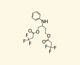 O=C(CC(F)(F)F)OCCC(COC(=O)CC(F)(F)F)Nc1ccccc1